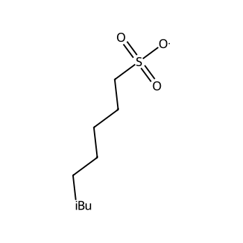 CCC(C)CCCCCS([O])(=O)=O